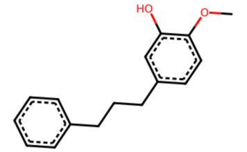 COc1ccc(CCCc2ccccc2)cc1O